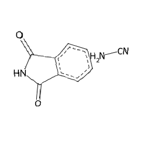 N#CN.O=C1NC(=O)c2ccccc21